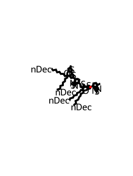 CCCCCCCCCCCCCCCCCCC1(CCCCCCCCCCCCCCCCCC)Oc2cc(C)sc2-c2sc(-c3ccc(-c4cc5c(s4)-c4sc(-c6ccc(C)c7nsnc67)cc4OC5(CCCCCCCCCCCCCCCCCC)CCCCCCCCCCCCCCCCCC)c4nsnc34)cc21